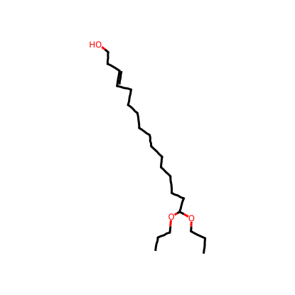 CCCOC(CCCCCCCCCCC/C=C/CCO)OCCC